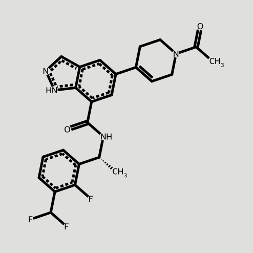 CC(=O)N1CC=C(c2cc(C(=O)N[C@H](C)c3cccc(C(F)F)c3F)c3[nH]ncc3c2)CC1